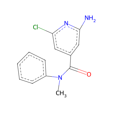 CN(C(=O)c1cc(N)nc(Cl)c1)c1ccccc1